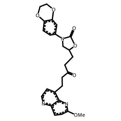 COc1ccc2nccc(CCC(=O)CCC3CN(c4ccc5c(c4)OCCO5)C(=O)O3)c2n1